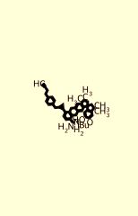 C#CCCc1ccc(CC2C=C2C2=C=C=C(C(N)N)C3=C2Cc2cc4c(cc2C3)C2(CC(C)(C)c3cc(OC(C)CC)c(O)cc32)CC4(C)C)cc1